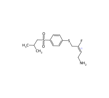 CC(C)CS(=O)(=O)c1ccc(SC/C(F)=C\CN)cc1